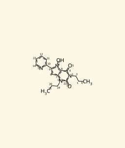 CCCn1c(=O)c2c(cc(-c3ccccn3)n2O)n(CCC)c1=O